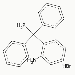 Br.Nc1ccccc1C(P)(c1ccccc1)c1ccccc1